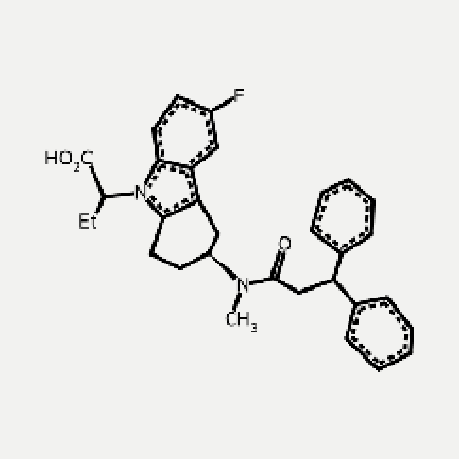 CCC(C(=O)O)n1c2c(c3cc(F)ccc31)C[C@@H](N(C)C(=O)CC(c1ccccc1)c1ccccc1)CC2